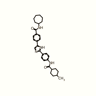 CC1CCC(C(=O)Nc2ccc(-c3ncc(-c4ccc(C(=O)NC5CCCCCC5)cc4)[nH]3)cc2)CC1